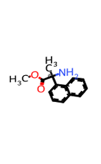 COC(=O)[C@](C)(N)c1cccc2ccccc12